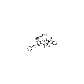 CC(N1C(=O)c2ccccc2C1=O)S(=O)(=O)Nc1cc(N[C@H](C)CO)nc(SCc2ccccc2)n1